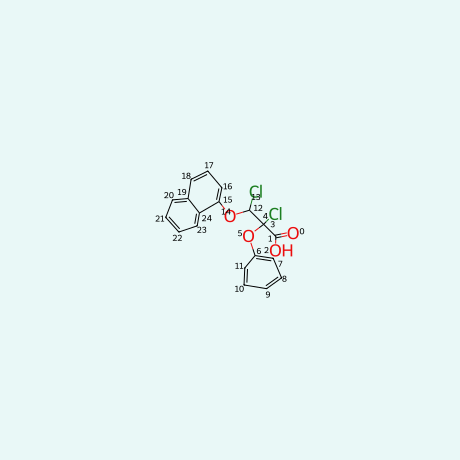 O=C(O)C(Cl)(Oc1ccccc1)C(Cl)Oc1cccc2ccccc12